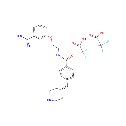 N=C(N)c1cccc(OCCNC(=O)c2ccc(C=C3CCNCC3)cc2)c1.O=C(O)C(F)(F)F.O=C(O)C(F)(F)F